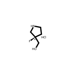 Cl.OC[C@@]1(F)CCNC1